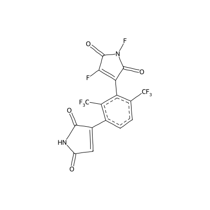 O=C1C=C(c2ccc(C(F)(F)F)c(C3=C(F)C(=O)N(F)C3=O)c2C(F)(F)F)C(=O)N1